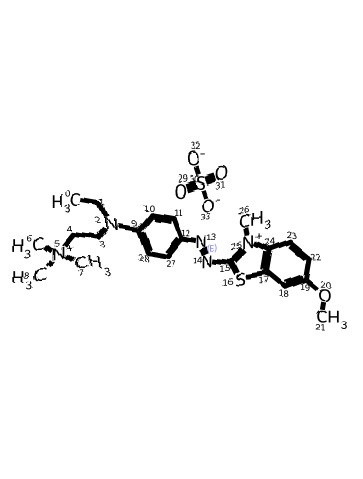 CCN(CC[N+](C)(C)C)c1ccc(/N=N/c2sc3cc(OC)ccc3[n+]2C)cc1.O=S(=O)([O-])[O-]